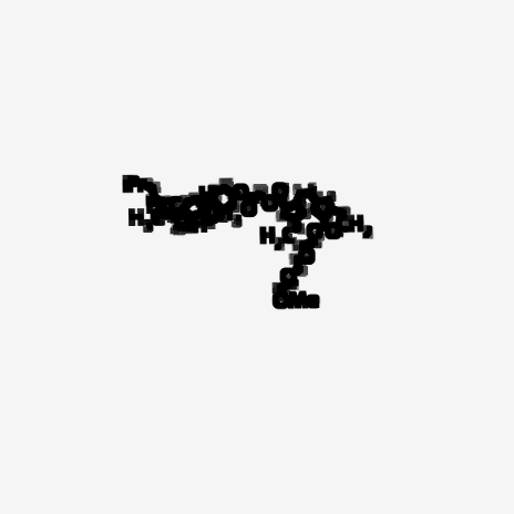 C=CC1CC(/C=C\C2CC(C=C)C(C(=O)OCCOCCOCCOC)C2)C(C(=O)OCC(=O)OC2CC[C@@]3(C)C(=CC[C@H]4[C@@H]5CC[C@H]([C@H](C)CCCC(C)C)[C@@]5(C)CC[C@@H]43)C2)C1